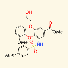 COC(=O)c1cc(NS(=O)(=O)c2ccc(SC)cc2)c(Oc2ccccc2OC)c(OCCO)c1